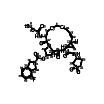 CC(C)(C)OC(=O)N[C@H]1CCCCC/C=C\[C@@H]2C[C@@]2(C(=O)N[C@@H]2CCS(=O)(=O)C2)NC(=O)[C@@H]2C[C@@H](OC(=O)N3Cc4cccc(F)c4C3)CN2C1=O